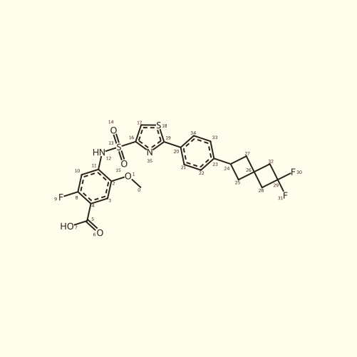 COc1cc(C(=O)O)c(F)cc1NS(=O)(=O)c1csc(-c2ccc(C3CC4(C3)CC(F)(F)C4)cc2)n1